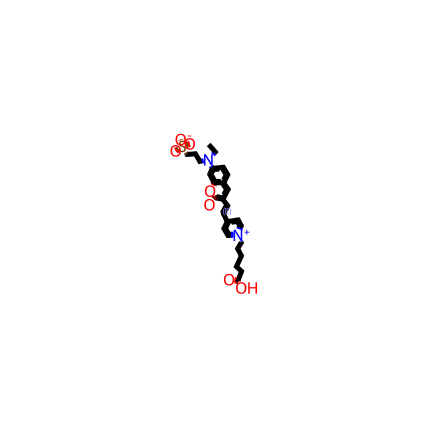 CCN(CCCS(=O)(=O)[O-])c1ccc2cc(/C=C/c3cc[n+](CCCCCC(=O)O)cc3)c(=O)oc2c1